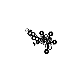 C=C(C)[C@@H]1CC[C@]2(C(=O)O[C@@H]3OC(COC(=O)c4ccccc4)[C@@H](OC(=O)c4ccccc4)C(OC(=O)c4ccccc4)C3OC(=O)c3ccccc3)CC[C@]3(C)C(CCC4[C@@]5(C)CC[C@H](OC)C(C)(C)C5CC[C@]43C)C12